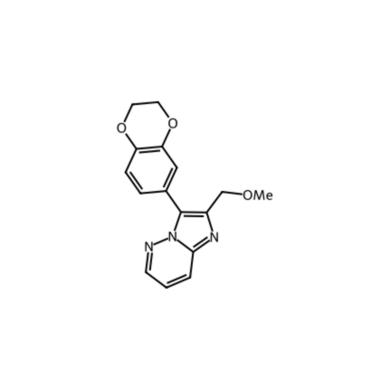 COCc1nc2cccnn2c1-c1ccc2c(c1)OCCO2